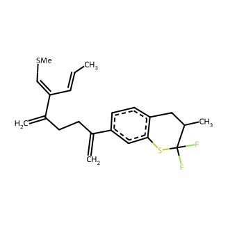 C=C(CCC(=C)c1ccc2c(c1)SC(F)(F)C(C)C2)C(/C=C/C)=C/SC